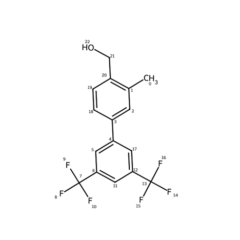 Cc1cc(-c2cc(C(F)(F)F)cc(C(F)(F)F)c2)ccc1CO